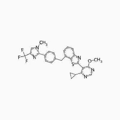 COc1ncnc(C2CC2)c1-c1nc2cccc(Cc3ccc(-c4nc(C(F)(F)F)cn4C)cc3)c2s1